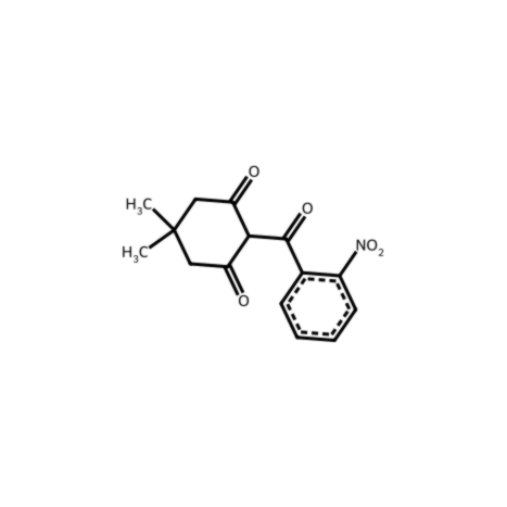 CC1(C)CC(=O)C(C(=O)c2ccccc2[N+](=O)[O-])C(=O)C1